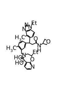 CCC1CN(Cc2cc(C(CC(=O)NC3COC3)c3ccc4c(nnn4CC)c3C)ccc2C)S(O)(O)c2cccnc2O1